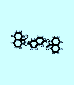 O=C(Oc1ccc2cc(OC(=O)C34CCCCC3CCCC4)ccc2c1)C12CCCCC1CCCC2